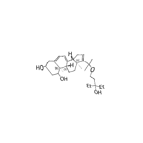 CCC(O)(CC)CCOC(C)(C)C1=CC[C@H]2C3=CC=C4CC(O)CC(O)[C@]4(C)[C@H]3CC[C@]12C